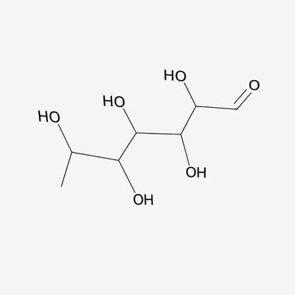 CC(O)C(O)C(O)C(O)C(O)C=O